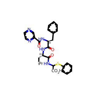 CC(C)C[C@H](NC(=O)[C@H](Cc1ccccc1)NC(=O)c1cnccn1)C(=O)NC(Sc1ccccc1)C(=O)O